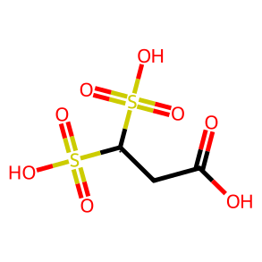 O=C(O)C[C](S(=O)(=O)O)S(=O)(=O)O